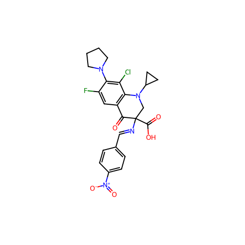 O=C(O)C1(N=Cc2ccc([N+](=O)[O-])cc2)CN(C2CC2)c2c(cc(F)c(N3CCCC3)c2Cl)C1=O